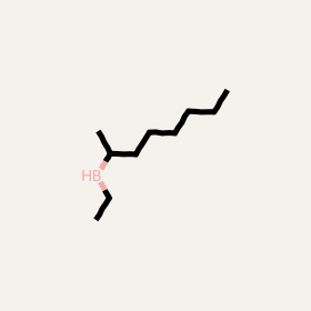 CCBC(C)CCCCCC